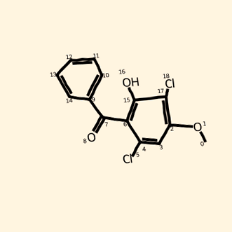 COc1cc(Cl)c(C(=O)c2ccccc2)c(O)c1Cl